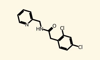 O=C(Cc1ccc(Cl)cc1Cl)NCc1ccccn1